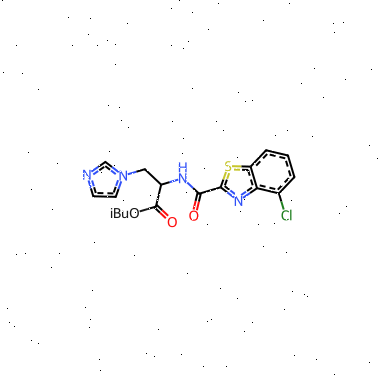 CC(C)COC(=O)C(Cn1ccnc1)NC(=O)c1nc2c(Cl)cccc2s1